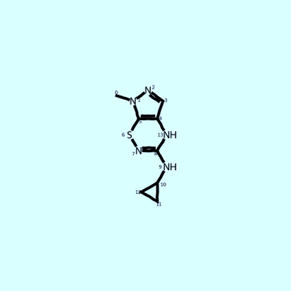 Cn1ncc2c1SN=C(NC1CC1)N2